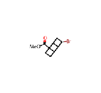 COC(=O)C12C3C4C1C1C2C3C41Br